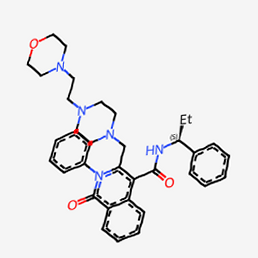 CC[C@H](NC(=O)c1c(CN2CCN(CCN3CCOCC3)CC2)n(-c2ccccc2)c(=O)c2ccccc12)c1ccccc1